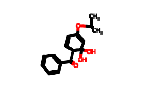 CC(C)OC1=CC(O)(O)C(C(=O)c2ccccc2)C=C1